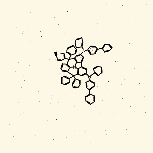 C#C/C=C\C(=C/C)C1(c2ccccc2)c2cccc3c2-n2c4c1cc(N(C1=CC=CCC1)c1ccc(-c5ccccc5)cc1)cc4c1cc(N(c4ccccc4)c4ccc(-c5ccccc5)cc4)cc(c12)C3(c1ccccc1)c1ccccc1